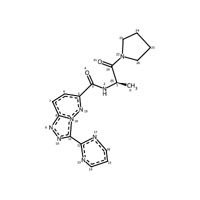 C[C@@H](NC(=O)c1ccc2nnc(-c3ncccn3)n2n1)C(=O)N1CCCC1